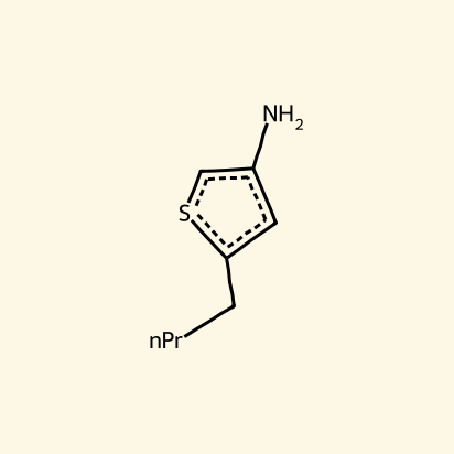 CCCCc1cc(N)cs1